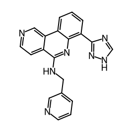 c1cncc(CNc2nc3c(-c4nc[nH]n4)cccc3c3cnccc23)c1